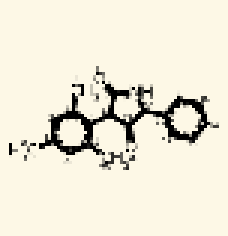 Cc1cc(C)c(C2C(=O)NC(c3ccccc3)C2=O)c(C)c1